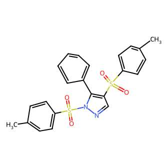 Cc1ccc(S(=O)(=O)c2cnn(S(=O)(=O)c3ccc(C)cc3)c2-c2ccccc2)cc1